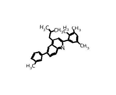 Cc1cccc(-c2ccc3nc(-c4cc(C)cc(C)c4C)cc(CC(C)C)c3c2)c1